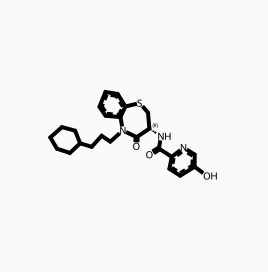 O=C(N[C@H]1CSc2ccccc2N(CCCC2CCCCC2)C1=O)c1ccc(O)cn1